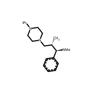 [CH2-][NH2+][C@@H](c1ccccc1)[C@@H](C)CN1CCN(C(C)C)CC1